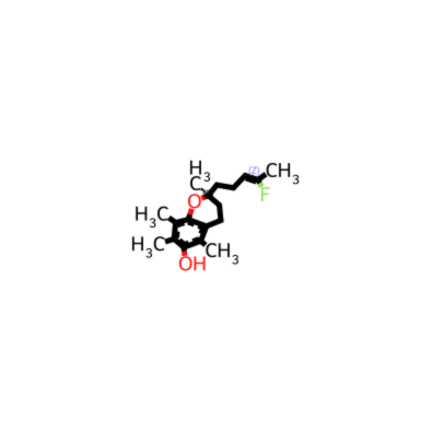 C/C(F)=C/CC[C@@]1(C)CCc2c(C)c(O)c(C)c(C)c2O1